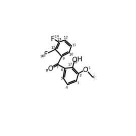 COc1cccc(C(=O)c2cccc(F)c2F)c1O